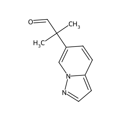 CC(C)(C=O)c1ccc2ccnn2c1